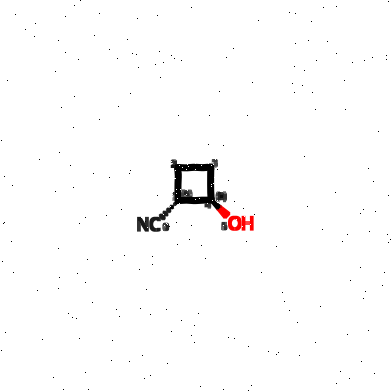 N#C[C@@H]1CC[C@H]1O